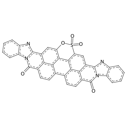 O=c1c2ccc3c4ccc5c(=O)n6c7ccccc7nc6c6cc7c(c8c(cc(c2c38)c2nc3ccccc3n12)OS7(=O)=O)c4c56